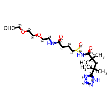 CC(C)(CC(C)(C)c1nnn[nH]1)C(=O)N[S+]([O-])CCCC(=O)NCCOCCOCC=O